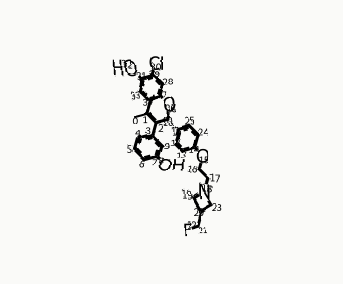 CC1=C(c2cccc(O)c2)[C@@H](c2ccc(OCCN3CC(CF)C3)cc2)Oc2cc(Cl)c(O)cc21